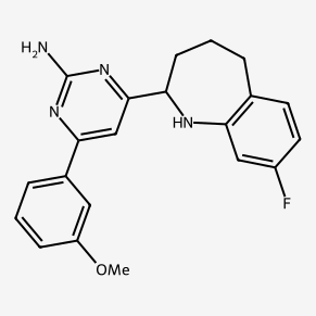 COc1cccc(-c2cc(C3CCCc4ccc(F)cc4N3)nc(N)n2)c1